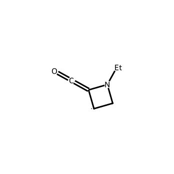 CCN1C[CH]C1=C=O